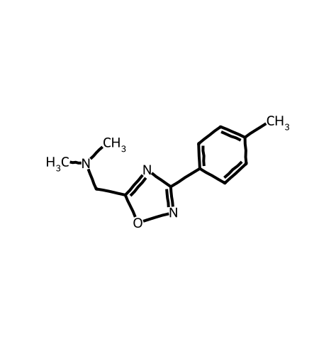 Cc1ccc(-c2noc(CN(C)C)n2)cc1